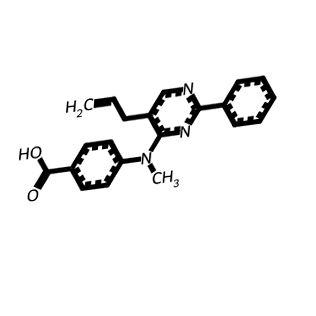 C=CCc1cnc(-c2ccccc2)nc1N(C)c1ccc(C(=O)O)cc1